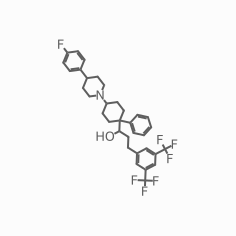 OC(CCc1cc(C(F)(F)F)cc(C(F)(F)F)c1)C1(c2ccccc2)CCC(N2CCC(c3ccc(F)cc3)CC2)CC1